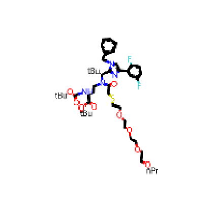 CCCOCCOCCOCCOCCSCC(=O)N(CC[C@H](NC(=O)OC(C)(C)C)C(=O)OC(C)(C)C)[C@@H](c1nc(-c2cc(F)ccc2F)cn1Cc1ccccc1)C(C)(C)C